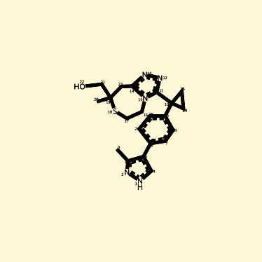 Cc1n[nH]cc1-c1ccc(C2(c3nnc4n3CCSC(C)(CO)C4)CC2)cc1